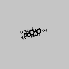 CC(=O)[C@@]1(O)[C@@H](C)C[C@H]2[C@@H]3CCC4C[C@H](O)CC[C@]4(C)[C@H]3C(=O)C[C@@]21C